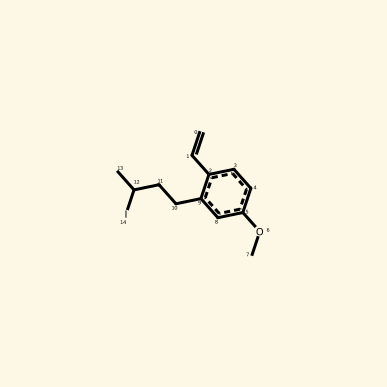 C=Cc1ccc(OC)cc1CCC(C)I